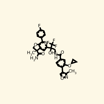 Cc1nocc1-c1ccc(C(=O)NCC(O)(c2cc3c(c(-c4ccc(F)cc4)n2)OC[C@]3(C)C(N)=O)C(F)(F)F)cc1OC1CC1